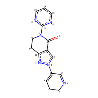 O=C1c2cn(C3=CCCN=C3)nc2CCN1c1ncccn1